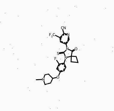 CN1CCC(Oc2ccc(N3C(=S)N(c4cnc(C#N)c(C(F)(F)F)c4)C(=O)C34CCC4)c(F)c2)CC1